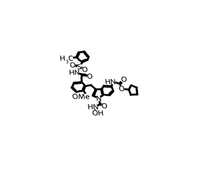 COc1cccc(C(=O)NS(=O)(=O)c2ccccc2C)c1Cc1cn(C(=O)NO)c2ccc(NC(=O)OC3CCCC3)cc12